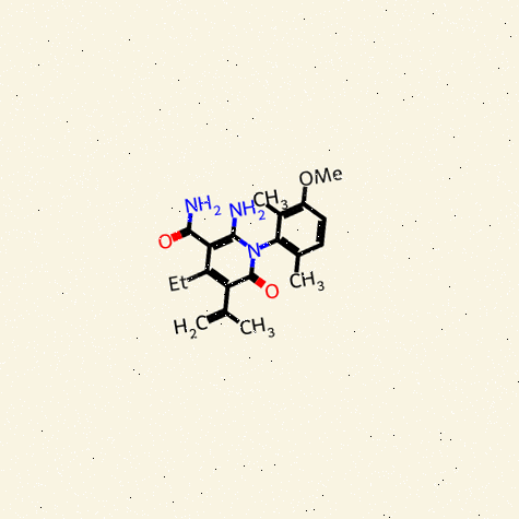 C=C(C)c1c(CC)c(C(N)=O)c(N)n(-c2c(C)ccc(OC)c2C)c1=O